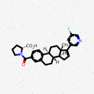 C[C@]12CC[C@@H]3c4ccc(C(=O)N5CCC[C@@H]5C(=O)O)cc4CC[C@H]3[C@@H]1CC=C2c1cncc(F)c1